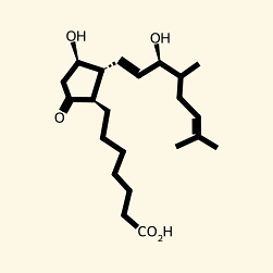 CC(C)=CCC(C)[C@H](O)C=C[C@H]1[C@H](O)CC(=O)[C@@H]1CCCCCCC(=O)O